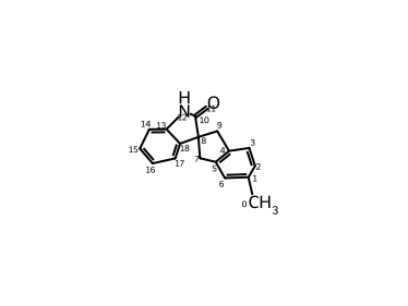 Cc1ccc2c(c1)CC1(C2)C(=O)Nc2ccccc21